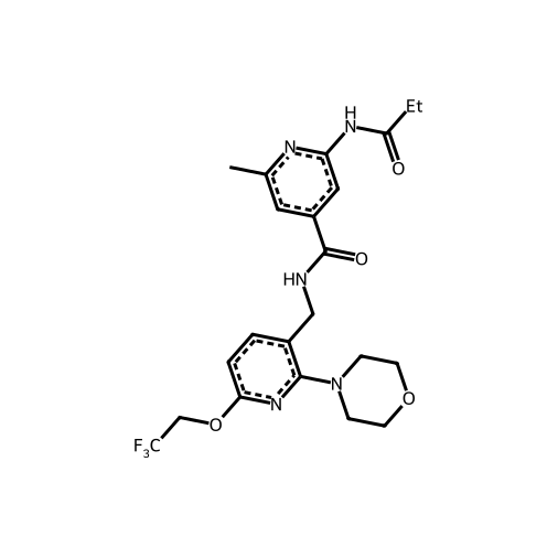 CCC(=O)Nc1cc(C(=O)NCc2ccc(OCC(F)(F)F)nc2N2CCOCC2)cc(C)n1